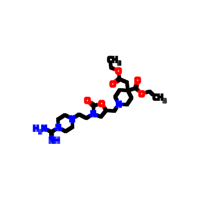 CCOC(=O)CC1(C(=O)OCC)CCN(CC2CN(CCN3CCN(C(=N)N)CC3)C(=O)O2)CC1